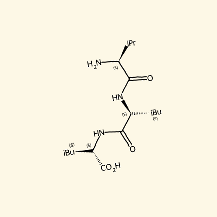 CC[C@H](C)[C@H](NC(=O)[C@@H](NC(=O)[C@@H](N)C(C)C)[C@@H](C)CC)C(=O)O